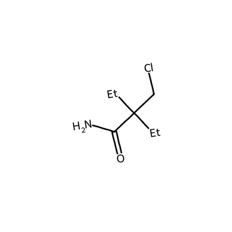 CCC(CC)(CCl)C(N)=O